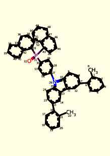 Cc1ccccc1-c1ccc2c(c1)c1cc(-c3ccccc3C)ccc1n2-c1ccc(P(=O)(c2cccc3ccccc23)c2cccc3ccccc23)cc1